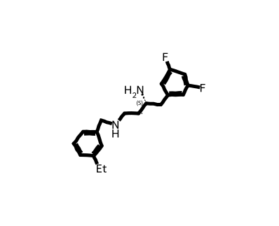 CCc1cccc(CNC[CH][C@H](N)Cc2cc(F)cc(F)c2)c1